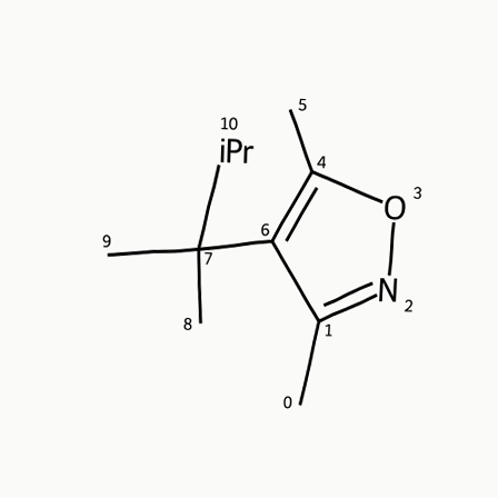 Cc1noc(C)c1C(C)(C)C(C)C